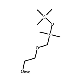 COCCOC[Si](C)(C)O[Si](C)(C)C